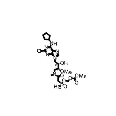 COC(=O)OCOP(=O)(O)CC(=O)N(C)C[C@@H](OC)[C@@H](O)Cn1cnc2c(NC3CCCC3)nc(Cl)nc21